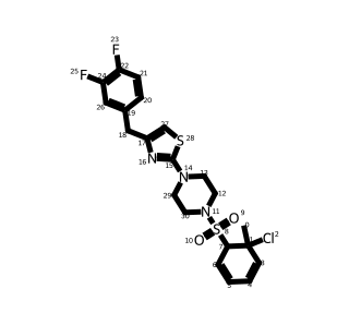 CC1(Cl)C=CC=CC1S(=O)(=O)N1CCN(c2nc(Cc3ccc(F)c(F)c3)cs2)CC1